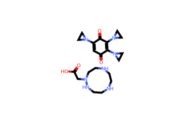 O=C(O)CN1CCNCCNCCN1.O=C1C=C(N2CC2)C(=O)C(N2CC2)=C1N1CC1